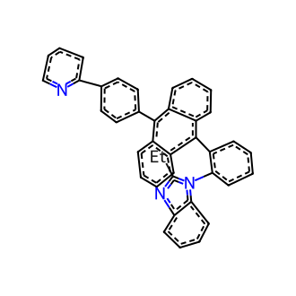 CCc1nc2ccccc2n1-c1ccccc1-c1c2ccccc2c(-c2ccc(-c3ccccn3)cc2)c2ccccc12